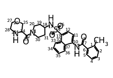 Cc1ccccc1C(=O)Nc1ccc(S(=O)(=O)NC2CCN(C(=O)C3COCCN3)CC2)c2ccccc12